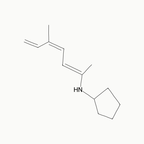 C=C/C(C)=C\C=C(/C)NC1CCCC1